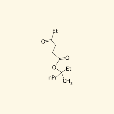 CCCC(C)(CC)OC(=O)CCC(=O)CC